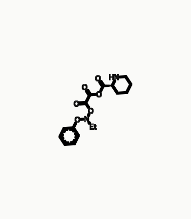 CCN(OC(=O)C(=O)OC(=O)[C@@H]1CCCCN1)Oc1ccccc1